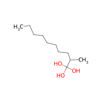 CCCCCCCCC(C)C(O)(O)O